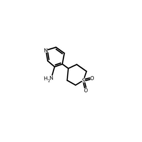 Nc1cnccc1C1CCS(=O)(=O)CC1